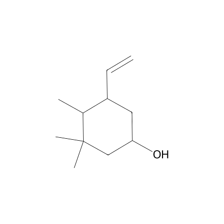 C=CC1CC(O)CC(C)(C)C1C